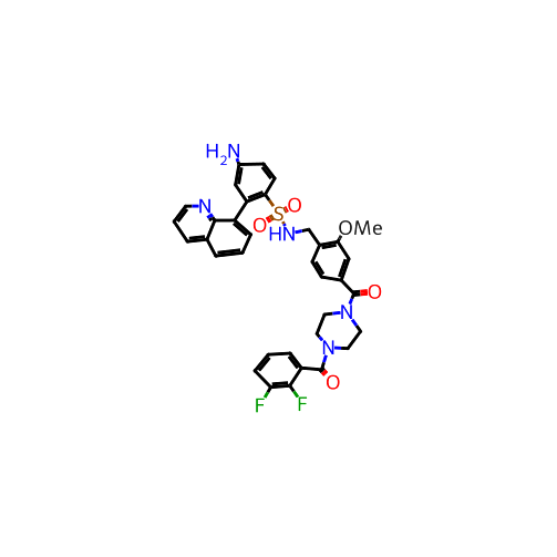 COc1cc(C(=O)N2CCN(C(=O)c3cccc(F)c3F)CC2)ccc1CNS(=O)(=O)c1ccc(N)cc1-c1cccc2cccnc12